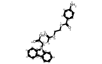 Nc1ccc(C(=O)OCCOC(=O)C[C@@H](C(=O)O)n2c3ccccc3c3ccccc32)cc1